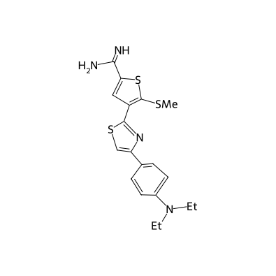 CCN(CC)c1ccc(-c2csc(-c3cc(C(=N)N)sc3SC)n2)cc1